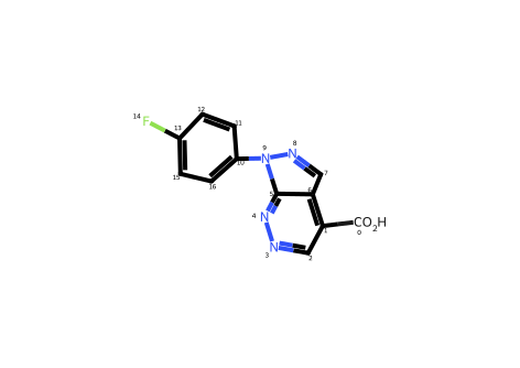 O=C(O)c1cnnc2c1cnn2-c1ccc(F)cc1